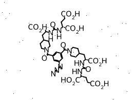 [N-]=[N+]=Nc1cc(C(=O)N2CCC(CC(NC(=O)N[C@@H](CCC(=O)O)C(=O)O)C(=O)O)CC2)cc(C(=O)N2CCC(C[C@H](NC(=O)NC(CCC(=O)O)C(=O)O)C(=O)O)CC2)c1